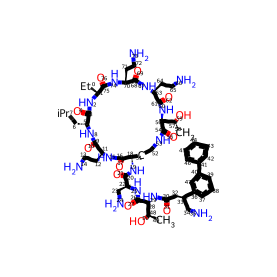 CC[C@@H]1NC(=O)[C@@H](CC(C)C)NC(=O)[C@H](CCN)NC(=O)[C@@H](NC(=O)[C@H](CN)NC(=O)[C@@H](NC(=O)C[C@H](CN)c2cccc(-c3ccccc3)c2)[C@@H](C)O)CCNC(=O)[C@H]([C@@H](C)O)NC(=O)[C@H](CCN)NC(=O)[C@H](CCN)NC1=O